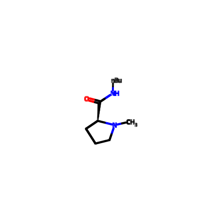 CCCCNC(=O)[C@@H]1CCCN1C